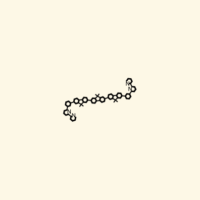 CC1(C)c2cc(-c3cccc(-c4cccc(-c5ccccn5)n4)c3)ccc2-c2ccc(-c3ccc4c(c3)C(C)(C)c3cc(-c5ccc6c(c5)C(C)(C)c5cc(-c7cccc(-c8cccc(-c9ccccn9)n8)c7)ccc5-6)ccc3-4)cc21